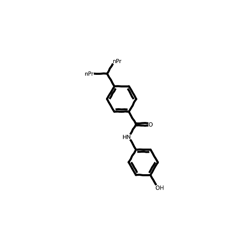 CCCC(CCC)c1ccc(C(=O)Nc2ccc(O)cc2)cc1